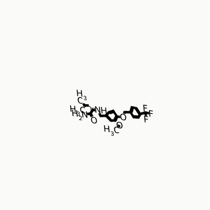 COc1cc(CN[C@@H](CC(C)C)C(N)=O)ccc1OCc1ccc(C(F)(F)F)cc1